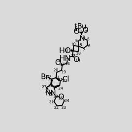 CC(C)(C)OC(=O)N1CCCC2(C1)CC(O)(C(=O)NCC(=O)CCc1c(Cl)cc3c(cnn3C3CCCCO3)c1Br)C2